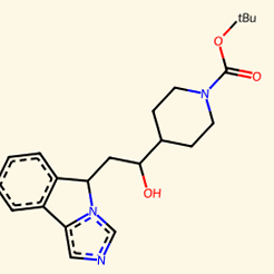 CC(C)(C)OC(=O)N1CCC(C(O)CC2c3ccccc3-c3cncn32)CC1